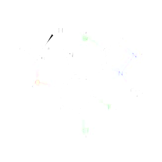 C[C@@H]1C[C@H]1Oc1cc(Cl)c(F)c(-c2c(Br)cnn2C)c1C#N